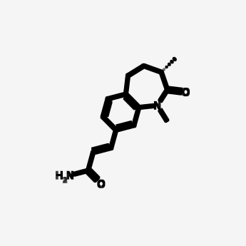 C[C@H]1CCc2ccc(/C=C/C(N)=O)cc2N(C)C1=O